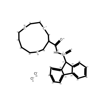 [CH2]=[Ti+2]([NH]C(=O)C1CCCCCCCCCCC1)[CH]1c2ccccc2-c2ccccc21.[Cl-].[Cl-]